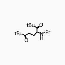 CC(C)NC(CCC(=O)C(C)(C)C)C(=O)C(C)(C)C